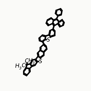 CC1(C)c2ccccc2-c2cc3sc4cc5ccc(-c6cccc7c6sc6ccc(-c8c9ccccc9c(-c9ccccc9)c9ccccc89)cc67)cc5cc4c3cc21